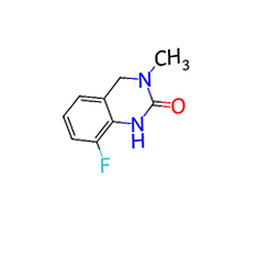 CN1Cc2cccc(F)c2NC1=O